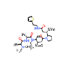 CCC(C)C(C(CC(=O)N1CCCC1C(CC(=O)NCCc1cccs1)SC)OC)N(C)C(=O)C(NC(=O)C(C(C)C)N(C)C)C(C)C